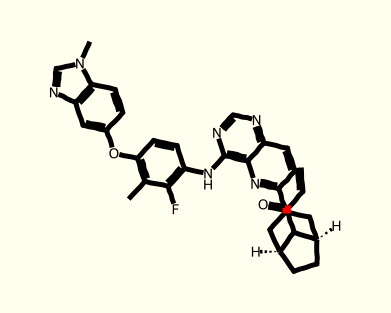 C=CC(=O)C1[C@@H]2CC[C@H]1CC(c1ccc3ncnc(Nc4ccc(Oc5ccc6c(c5)ncn6C)c(C)c4F)c3n1)C2